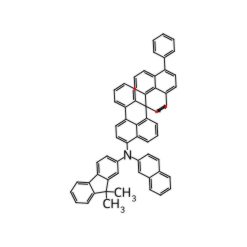 CC1(C)c2ccccc2-c2ccc(N(c3ccc4ccccc4c3)c3ccc4c5c(cccc35)C3(c5ccccc5-c5ccc(-c6ccccc6)c6cccc3c56)c3ccccc3-4)cc21